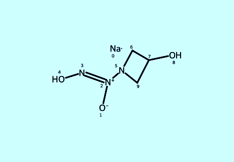 [Na].[O-][N+](=NO)N1CC(O)C1